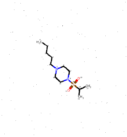 CCCCCN1CCN(S(=O)(=O)C(C)C)CC1